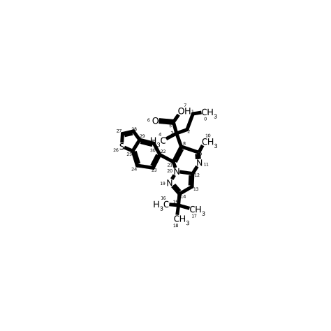 CCCC(C)(C(=O)O)c1c(C)nc2cc(C(C)(C)C)nn2c1-c1ccc2sccc2c1